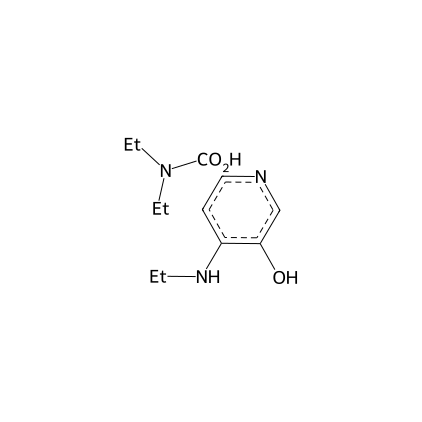 CCN(CC)C(=O)O.CCNc1ccncc1O